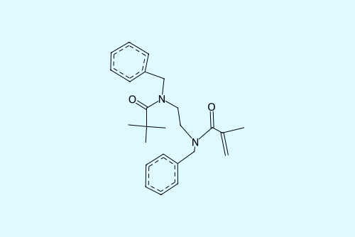 C=C(C)C(=O)N(CCN(Cc1ccccc1)C(=O)C(C)(C)C)Cc1ccccc1